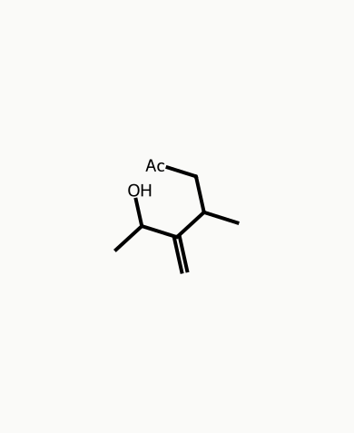 C=C(C(C)O)C(C)CC(C)=O